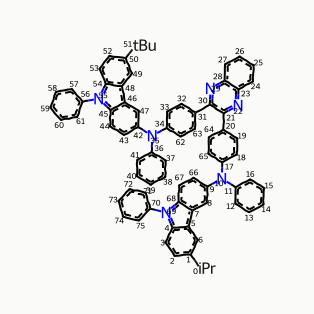 CC(C)c1ccc2c(c1)c1cc(N(c3ccccc3)c3ccc(-c4nc5ccccc5nc4-c4ccc(N(c5ccccc5)c5ccc6c(c5)c5cc(C(C)(C)C)ccc5n6-c5ccccc5)cc4)cc3)ccc1n2-c1ccccc1